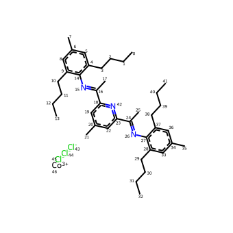 CCCCc1cc(C)cc(CCCC)c1N=C(C)c1cc(C)cc(C(C)=Nc2c(CCCC)cc(C)cc2CCCC)n1.[Cl-].[Cl-].[Cl-].[Co+3]